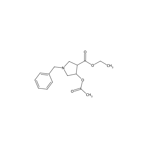 CCOC(=O)C1CN(Cc2ccccc2)CC1OC(C)=O